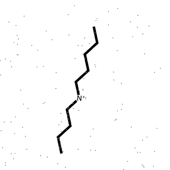 CCCCC[N+]CCCC